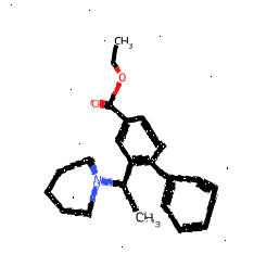 CCOC(=O)c1ccc(-c2ccccc2)c(C(C)N2CCCCC2)c1